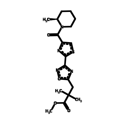 COC(=O)C(C)(C)Cc1nc(-c2nc(C(=O)N3CCCC[C@@H]3C)cs2)no1